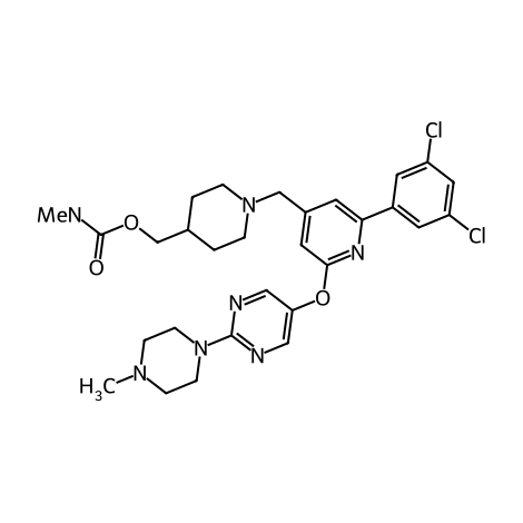 CNC(=O)OCC1CCN(Cc2cc(Oc3cnc(N4CCN(C)CC4)nc3)nc(-c3cc(Cl)cc(Cl)c3)c2)CC1